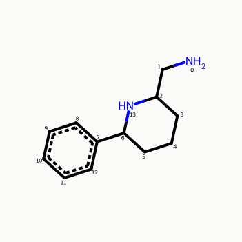 NCC1CCCC(c2ccccc2)N1